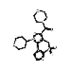 O=C(c1nn(C2CCOCC2)c2c1CS(=O)(=O)c1sccc1-2)N1CCOCC1